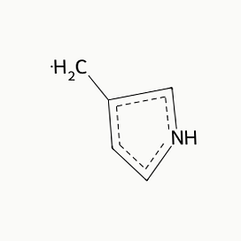 [CH2]c1cc[nH]c1